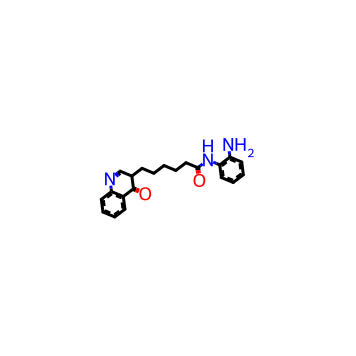 Nc1ccccc1NC(=O)CCCCCC1C=Nc2ccccc2C1=O